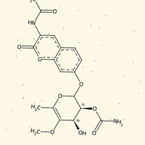 COC1=C(C)OC(Oc2ccc3cc(NC(C)=O)c(=O)oc3c2)[C@@H](OC(N)=O)[C@H]1O